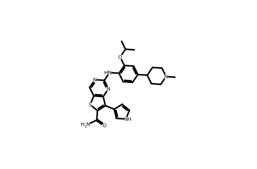 CC(C)Oc1cc(C2CCN(C)CC2)ccc1Nc1ncc2sc(C(N)=O)c(-c3cc[nH]c3)c2n1